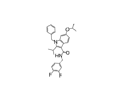 CC(C)Oc1ccc2c(C(=O)NCc3ccc(F)c(F)c3)c(C(C)C)n(Cc3ccccc3)c2c1